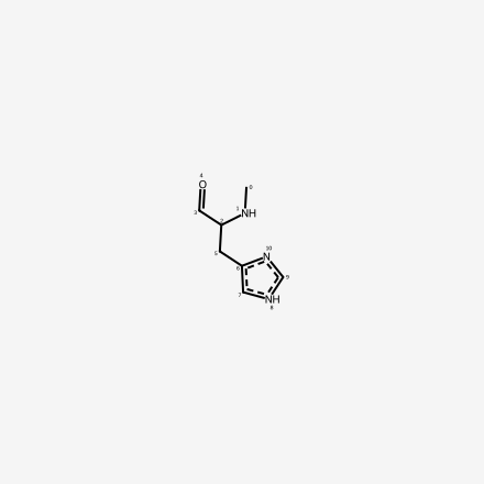 CNC(C=O)Cc1c[nH]cn1